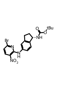 CC(C)(C)OC(=O)N[C@H]1CCc2cc(Nc3nc(Br)ccc3[N+](=O)[O-])ccc21